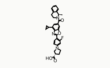 C[C@@H]1c2ccccc2CCN1C(=O)c1cc(C2CC2)c2nc(-c3ccc(N4CC[C@H](C(=O)O)C4)cc3F)oc2c1